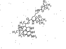 CC(OC(=O)C(CCCCNC(=O)OC(C)(C)C)NC(=O)OC(C)(C)C)C(O)C1CNc2[nH]c(N)nc(=O)c2N1C(=O)OC(C)(C)C